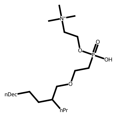 CCCCCCCCCCCCC(CCC)COCCP(=O)(O)OCC[N+](C)(C)C